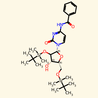 CC(C)(C)[Si](C)(C)OC[C@H]1O[C@@H](n2ccc(NC(=O)c3ccccc3)nc2=O)C(O[Si](C)(C)C(C)(C)C)[C@H]1O